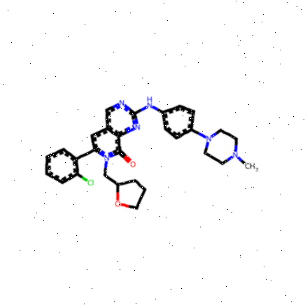 CN1CCN(c2ccc(Nc3ncc4cc(-c5ccccc5Cl)n(CC5CCCO5)c(=O)c4n3)cc2)CC1